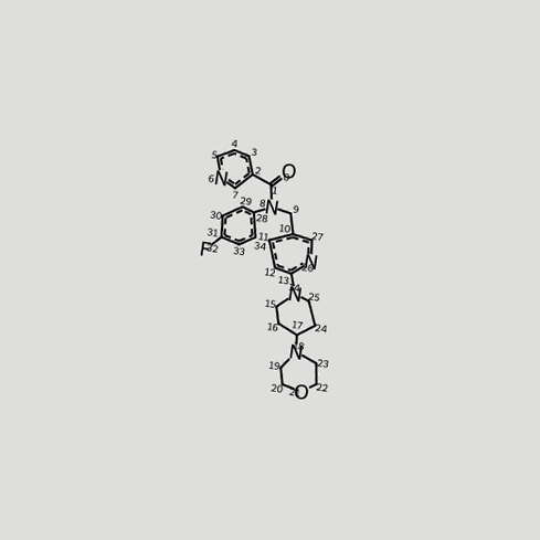 O=C(c1cccnc1)N(Cc1ccc(N2CCC(N3CCOCC3)CC2)nc1)c1ccc(F)cc1